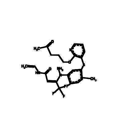 C=CNC(=O)/C=C(\N(N)c1cc(Sc2cccnc2OCCCC(C)=O)c(C)cc1F)C(F)(F)F